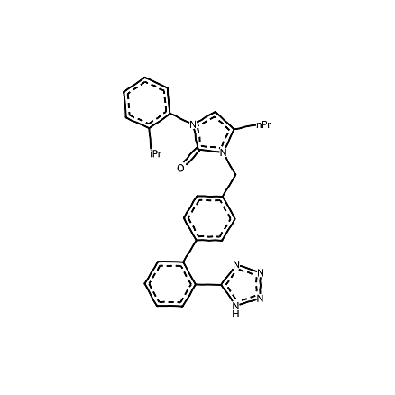 CCCc1cn(-c2ccccc2C(C)C)c(=O)n1Cc1ccc(-c2ccccc2-c2nnn[nH]2)cc1